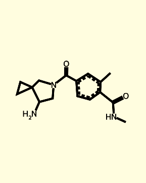 CNC(=O)c1ccc(C(=O)N2CC(N)C3(CC3)C2)cc1C